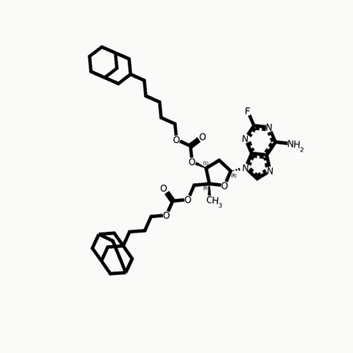 C[C@]1(COC(=O)OCCCC23CC4CC(CC(C4)C2)C3)O[C@@H](n2cnc3c(N)nc(F)nc32)C[C@@H]1OC(=O)OCCCCCC1CC2CCCC(C1)C2